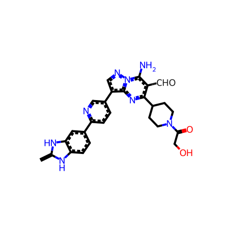 C=C1Nc2ccc(-c3ccc(-c4cnn5c(N)c(C=O)c(C6CCN(C(=O)CO)CC6)nc45)cn3)cc2N1